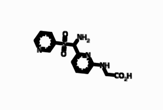 NC(c1cccc(NCC(=O)O)n1)S(=O)(=O)c1cccnc1